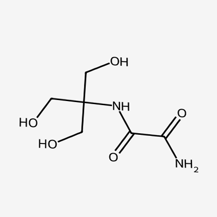 NC(=O)C(=O)NC(CO)(CO)CO